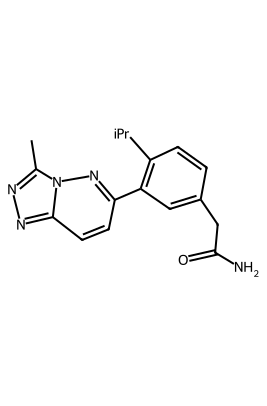 Cc1nnc2ccc(-c3cc(CC(N)=O)ccc3C(C)C)nn12